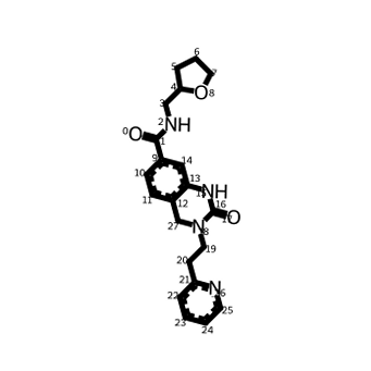 O=C(NCC1CCCO1)c1ccc2c(c1)NC(=O)N(CCc1ccccn1)C2